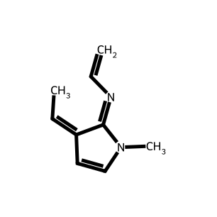 C=C/N=C1\C(=C/C)C=CN1C